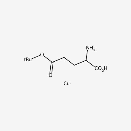 CC(C)(C)OC(=O)CCC(N)C(=O)O.[Cu]